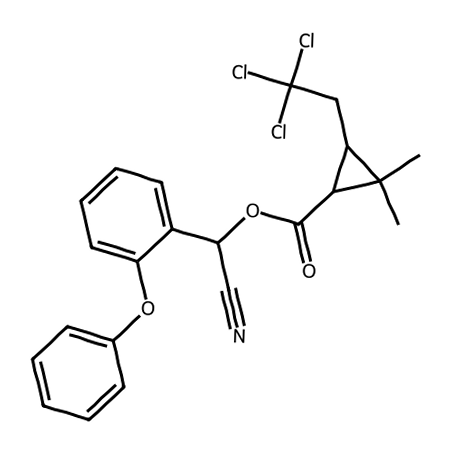 CC1(C)C(CC(Cl)(Cl)Cl)C1C(=O)OC(C#N)c1ccccc1Oc1ccccc1